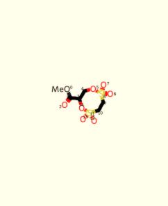 COC(=O)C1COS(=O)(=O)CCS(=O)(=O)O1